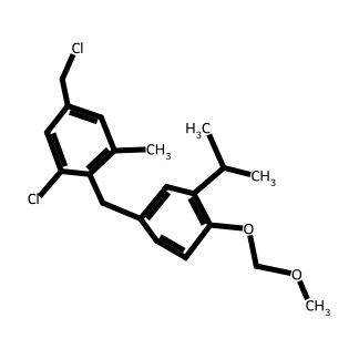 COCOc1ccc(Cc2c(C)cc(CCl)cc2Cl)cc1C(C)C